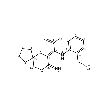 C=C(C)/C(Nc1ccccc1CO)=C1\CC2(CCCC2)CCC1=N